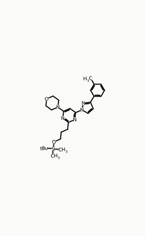 Cc1cccc(-c2ccn(-c3cc(N4CCOCC4)nc(CCCO[Si](C)(C)C(C)(C)C)n3)n2)c1